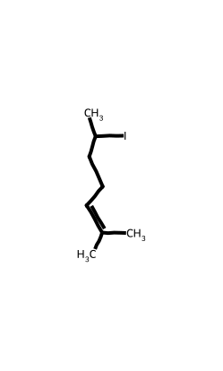 CC(C)=CCCC(C)I